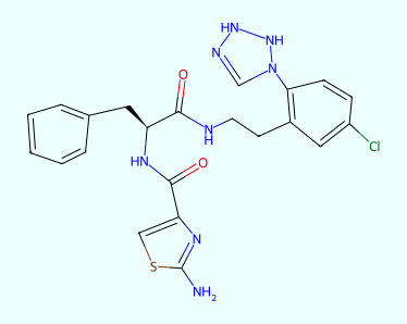 Nc1nc(C(=O)N[C@@H](Cc2ccccc2)C(=O)NCCc2cc(Cl)ccc2N2C=NNN2)cs1